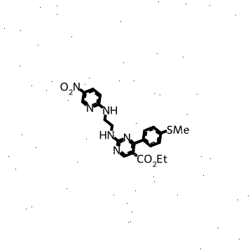 CCOC(=O)c1cnc(NCCNc2ccc([N+](=O)[O-])cn2)nc1-c1ccc(SC)cc1